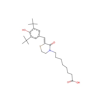 CC(C)(C)c1cc(C=C2SCCN(CCCCCCCC(=O)O)C2=O)cc(C(C)(C)C)c1O